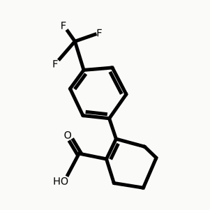 O=C(O)C1=C(c2ccc(C(F)(F)F)cc2)CCCC1